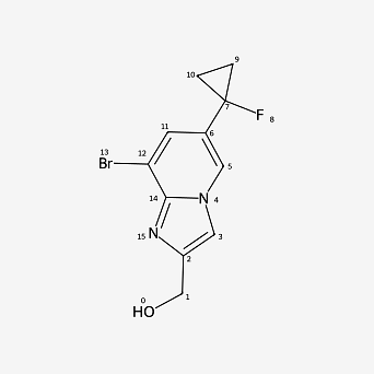 OCc1cn2cc(C3(F)CC3)cc(Br)c2n1